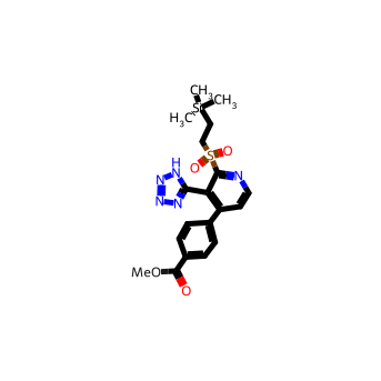 COC(=O)c1ccc(-c2ccnc(S(=O)(=O)CC[Si](C)(C)C)c2-c2nnn[nH]2)cc1